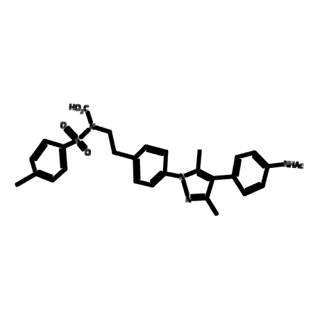 CC(=O)Nc1ccc(-c2c(C)nn(-c3ccc(CCN(C(=O)O)S(=O)(=O)c4ccc(C)cc4)cc3)c2C)cc1